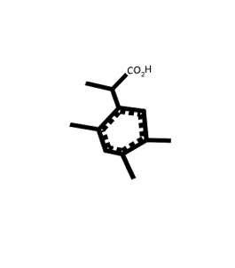 Cc1cc(C)c(C(C)C(=O)O)cc1C